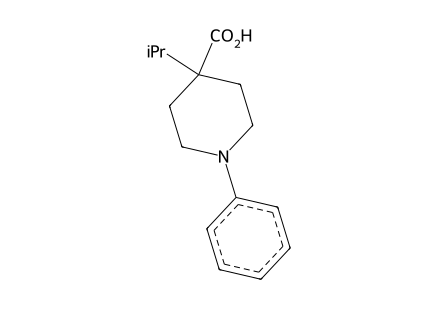 CC(C)C1(C(=O)O)CCN(c2ccccc2)CC1